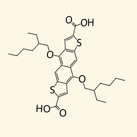 CCCCC(CC)COc1c2cc(C(=O)O)sc2cc2c(OCC(CC)CCCC)c3cc(C(=O)O)sc3cc12